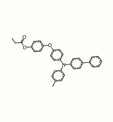 CCC(=O)Oc1ccc(Oc2ccc(N(c3ccc(C)cc3)c3ccc(-c4ccccc4)cc3)cc2)cc1